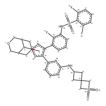 CN1CC2COCC(C1)N2c1nc(-c2cccc(NS(=O)(=O)c3c(F)cccc3F)c2F)c(-c2ccnc(NC3CC4(C3)CS(=O)(=O)C4)n2)s1